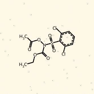 CCOC(=O)N(OC(C)=O)S(=O)(=O)c1c(Cl)cccc1Cl